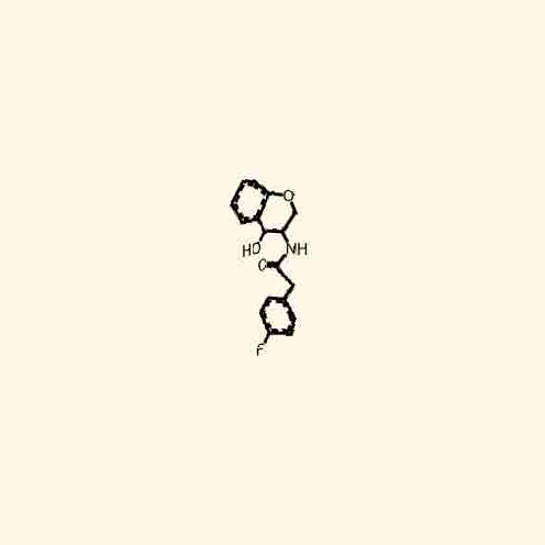 O=C(Cc1ccc(F)cc1)NC1COc2ccccc2C1O